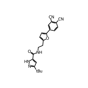 CC(C)(C)c1cc(C(=O)NCCc2ccc(-c3ccc(C#N)c(C#N)c3)o2)[nH]n1